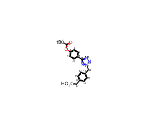 CC(C)(C)C(=O)Oc1ccc(-c2nnn(Cc3ccc(CC(=O)O)cc3)n2)cc1